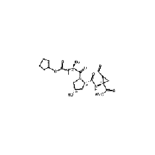 C=CC1C[C@]1(NC(=O)[C@@H]1C[C@H](O)CN1C(=O)[C@@H](NC(=O)OC1CCCC1)C(C)(C)C)C(=O)OC